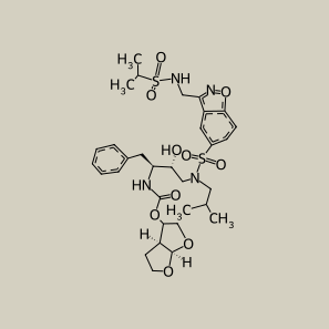 CC(C)CN(C[C@@H](O)[C@H](Cc1ccccc1)NC(=O)OC1CO[C@H]2OCC[C@@H]12)S(=O)(=O)c1ccc2onc(CNS(=O)(=O)C(C)C)c2c1